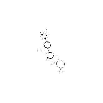 CC[C@@H]1CCC[C@H](F)[C@H](N(C)c2cnc(-c3ccc(-c4nnn(C)n4)cc3O)nn2)C1